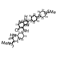 CN/C(C)=C(/CN1CCC(Nc2c(Cl)cnc3[nH]c(-c4ccc(N5CCN(SC)CC5)cc4)nc23)CC1)C(C)=N